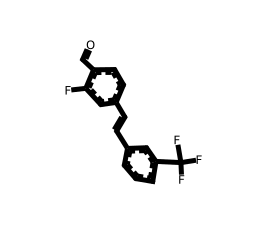 O=Cc1ccc(C=Cc2cccc(C(F)(F)F)c2)cc1F